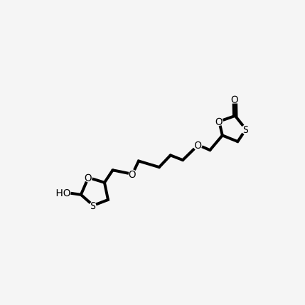 O=C1OC(COCCCCOCC2CSC(O)O2)CS1